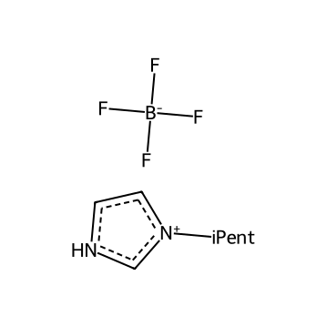 CCCC(C)[n+]1cc[nH]c1.F[B-](F)(F)F